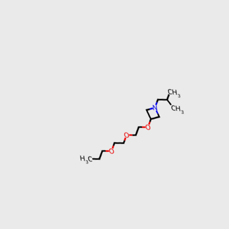 CCCOCCOCCOC1CN(CC(C)C)C1